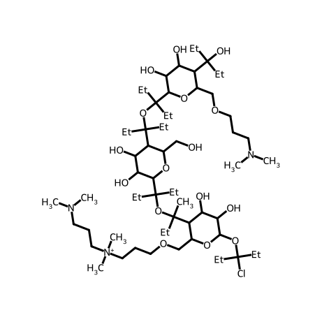 CCC(Cl)(CC)OC1OC(COCCC[N+](C)(C)CCCN(C)C)C(C(C)(CC)OC(CC)(CC)C2OC(CO)C(C(CC)(CC)OC(CC)(CC)C3OC(COCCCN(C)C)C(C(O)(CC)CC)C(O)C3O)C(O)C2O)C(O)C1O